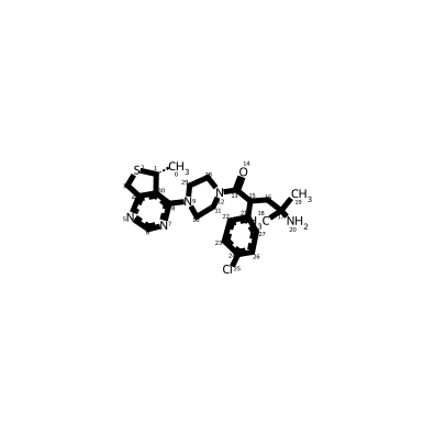 C[C@H]1SCc2ncnc(N3CCN(C(=O)C(CC(C)(C)N)c4ccc(Cl)cc4)CC3)c21